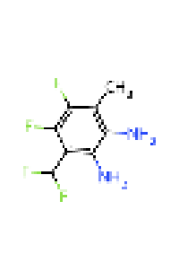 Cc1c(N)c(N)c(C(F)F)c(F)c1F